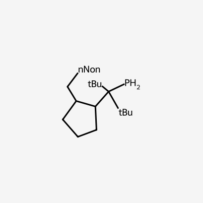 CCCCCCCCCCC1CCCC1C(P)(C(C)(C)C)C(C)(C)C